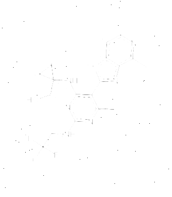 Cc1nc(NCC(F)(F)C(F)(F)F)nc(NC2(CO)CC2)c1-c1nc2c(C)nccc2s1